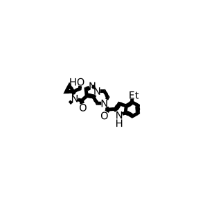 CCc1cccc2[nH]c(C(=O)N3CCn4ncc(C(=O)N(C)C5(CO)CC5)c4C3)cc12